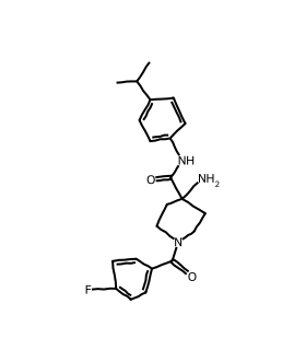 CC(C)c1ccc(NC(=O)C2(N)CCN(C(=O)c3ccc(F)cc3)CC2)cc1